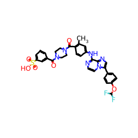 Cc1cc(Nc2nccn3c(-c4ccc(OC(F)F)cc4)cnc23)ccc1C(=O)N1CCN(C(=O)c2cccc(S(=O)(=O)O)c2)CC1